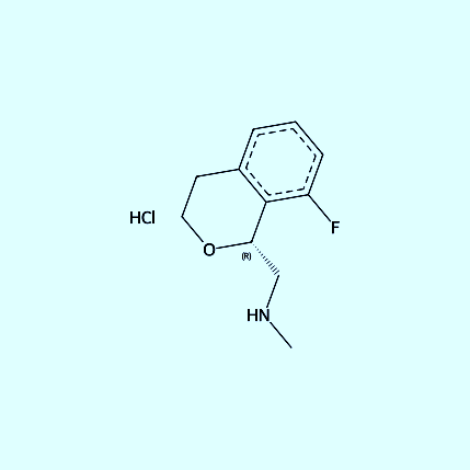 CNC[C@@H]1OCCc2cccc(F)c21.Cl